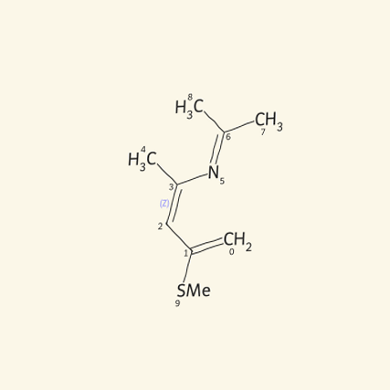 C=C(/C=C(/C)N=C(C)C)SC